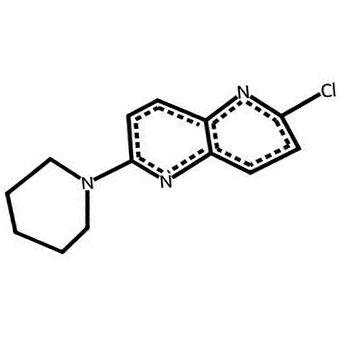 Clc1ccc2nc(N3CCCCC3)ccc2n1